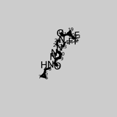 O=C(NCCC1CC1)c1ccc(N2CCN(C(=O)C3CC3C(F)(F)F)CC2)nn1